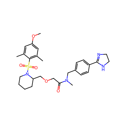 COc1cc(C)c(S(=O)(=O)N2CCCCC2COCC(=O)N(C)Cc2ccc(C3=NCCN3)cc2)c(C)c1